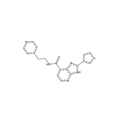 O=C(NCCc1ccncc1)c1ccnc2[nH]c(-c3ccoc3)nc12